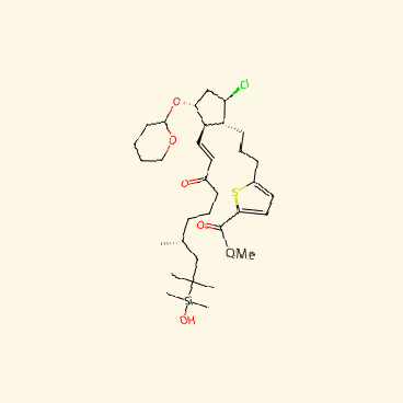 COC(=O)c1ccc(CCC[C@@H]2[C@@H](/C=C/C(=O)CCC[C@@H](C)CC(C)(C)[Si](C)(C)O)[C@H](OC3CCCCO3)C[C@H]2Cl)s1